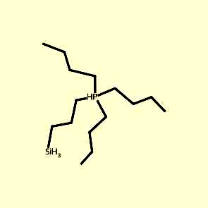 CCCC[PH](CCCC)(CCCC)CCC[SiH3]